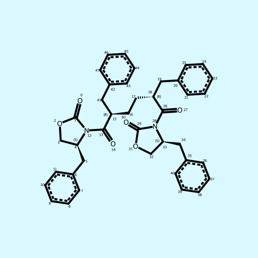 O=C1OC[C@H](Cc2ccccc2)N1C(=O)[C@H](CC[C@H](Cc1ccccc1)C(=O)N1C(=O)OC[C@@H]1Cc1ccccc1)Cc1ccccc1